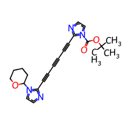 CC(C)(C)OC(=O)n1ccnc1C#CC#CC#Cc1nccn1C1CCCCO1